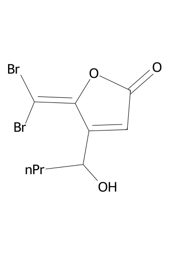 CCCC(O)C1=CC(=O)OC1=C(Br)Br